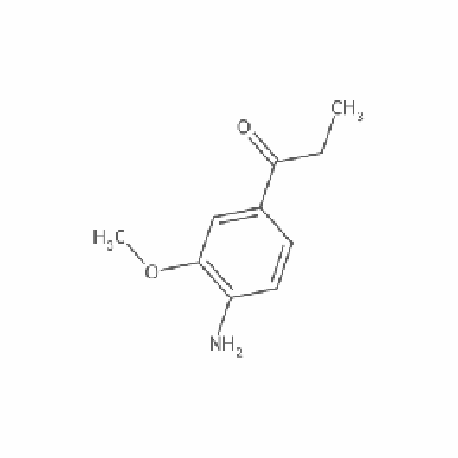 CCC(=O)c1ccc(N)c(OC)c1